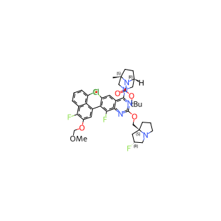 COCOc1cc(-c2c(F)cc3c(N4C[C@H]5CC[C@@](C)(C4)N5C(=O)OC(C)(C)C)nc(OC[C@@]45CCCN4C[C@H](F)C5)nc3c2F)c2c(Cl)cccc2c1F